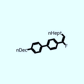 CCCCCCC/C=C(/F)c1ccc(-c2ccc(CCCCCCCCCC)cc2)cc1